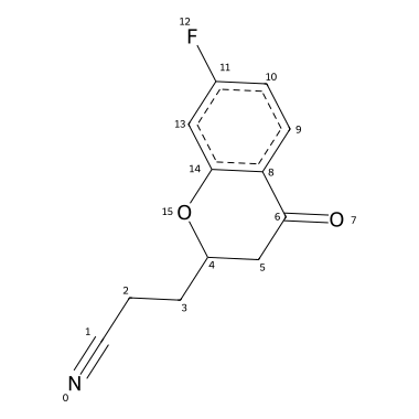 N#CCCC1CC(=O)c2ccc(F)cc2O1